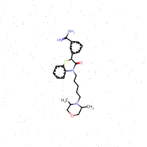 CC1COCC(C)N1CCCCCN1C(=O)C(c2cccc(C(=N)N)c2)Sc2ccccc21